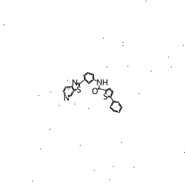 O=C(Nc1cccc(-c2nc3ccncc3s2)c1)c1ccc(-c2ccccc2)s1